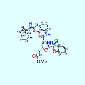 COC(=O)/C=C/CCC(NC(=O)c1oc2ccccc2c1Cl)C(=O)Nc1cccn(CC(=O)NC2C3CC4CC(C3)CC2C4)c1=O